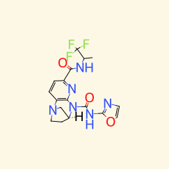 CC(NC(=O)c1ccc2c(n1)N(C(=O)Nc1ncco1)[C@H]1CCN2C1)C(F)(F)F